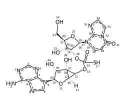 Nc1ncnc2c1ncn2[C@@H]1O[C@@H]2C(OP(=O)(S)O[C@@H]3[C@H](O)[C@@H](CO)O[C@H]3n3ccc(=O)n4ccnc34)[C@]2(O)[C@H]1O